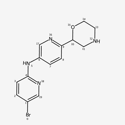 Brc1ccc(Nc2ccc(C3CNCCO3)nc2)nc1